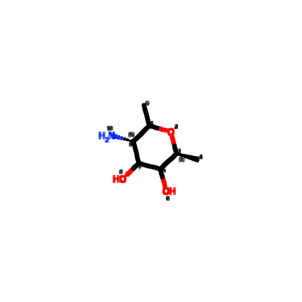 CC1O[C@@H](C)C(O)C(O)[C@@H]1N